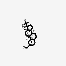 C[C@]12CC(C=O)=CCC1CC[C@@H]1[C@H]2CC[C@@]2(C)[C@H]1CCC2(O)C(F)(F)F